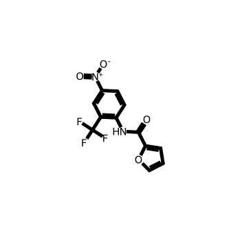 O=C(Nc1ccc([N+](=O)[O-])cc1C(F)(F)F)c1ccco1